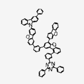 c1ccc(-c2ccc3c(c2)c2ccccc2n3-c2ccc3c(c2)oc2ccc(-c4cccc(-c5cc(-c6ccc7c(c6)oc6ccccc67)c6oc7cccc(-c8cccc(-c9nc(-c%10ccccc%10)nc(-c%10ccccc%10)n9)c8)c7c6c5)c4)cc23)cc1